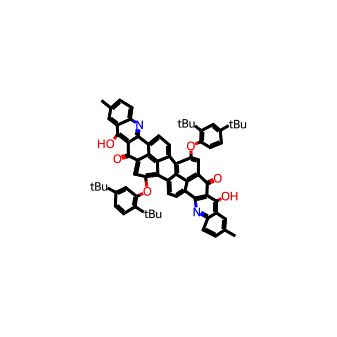 Cc1ccc2nc3c(c(O)c2c1)C(=O)c1cc(Oc2cc(C(C)(C)C)ccc2C(C)(C)C)c2c4ccc5c6c(cc(Oc7ccc(C(C)(C)C)cc7C(C)(C)C)c(c7ccc-3c1c72)c64)C(=O)c1c-5nc2ccc(C)cc2c1O